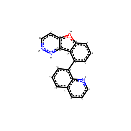 c1cnc2c(-c3cccc4oc5ccnnc5c34)cccc2c1